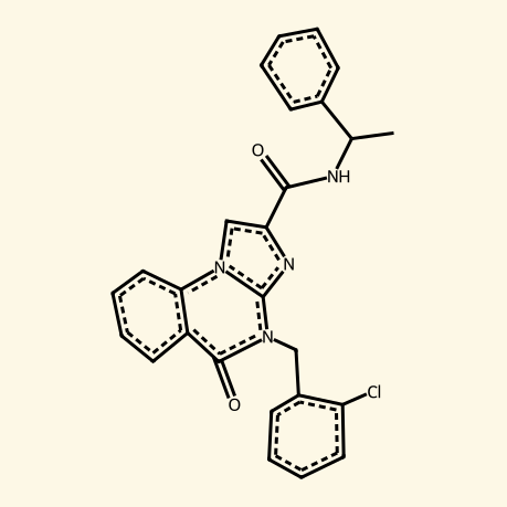 CC(NC(=O)c1cn2c3ccccc3c(=O)n(Cc3ccccc3Cl)c2n1)c1ccccc1